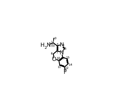 C[C@H](N)c1ncn2c1COc1cc(F)ccc1-2